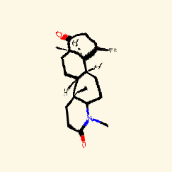 CCC1CC(=O)[C@@]2(C)CC[C@@H]3[C@@H](CCC4N(C)C(=O)CC[C@@]43C)[C@H]12